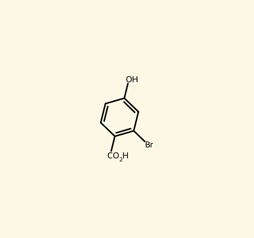 O=C(O)c1ccc(O)cc1Br